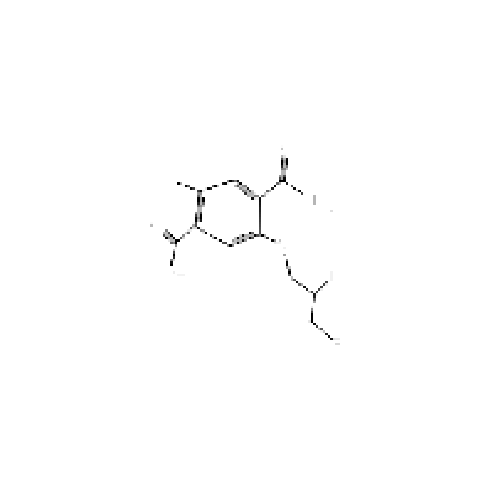 Cc1cc(C(N)=O)c(NCC(F)CF)cc1C(=O)O